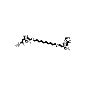 CCCOC(=O)C[N+](C)(C)CCOCCCCCCCCCCOCC[N+](C)(C)CC(=O)OCCC